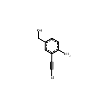 CCC#Cc1cc(CO)ccc1N